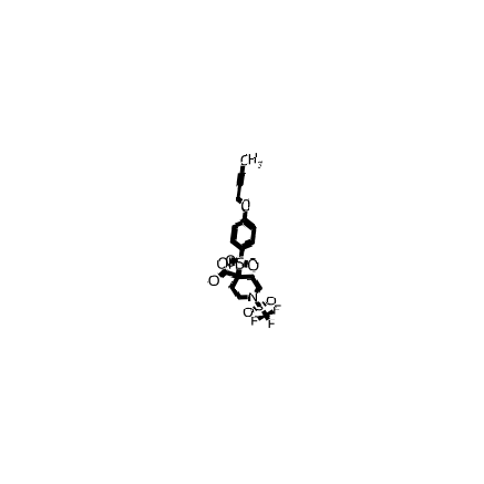 CC#CCOc1ccc(S(=O)(=O)C2(C(=O)O)CCN(S(=O)(=O)C(F)(F)F)CC2)cc1